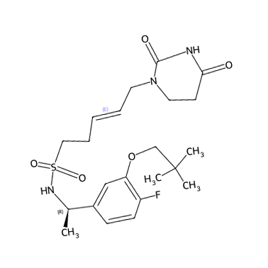 C[C@@H](NS(=O)(=O)CC/C=C/CN1CCC(=O)NC1=O)c1ccc(F)c(OCC(C)(C)C)c1